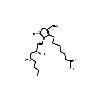 CCCC[C@@H](C)C[C@H](O)/C=C/[C@@H]1C(SCCCCCC(=O)O)=C(C=O)C[C@H]1O